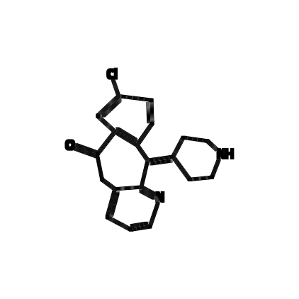 O=C1Cc2cccnc2C(=C2CCNCC2)c2ccc(Cl)cc21